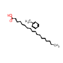 CCCCCCCCC=CCCCCCCCC(=O)O.Cc1ccccc1